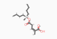 CCCC[Si](C)(CCCC)OC(=O)CC=C(C)C(=O)O